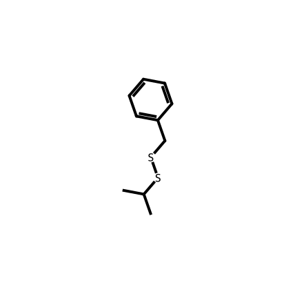 CC(C)SSCc1ccccc1